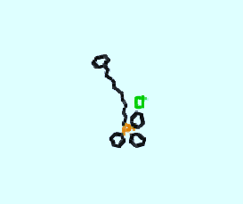 [Cl-].c1ccc(CCCCCCCCCC[P+](c2ccccc2)(c2ccccc2)c2ccccc2)cc1